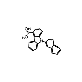 OB(O)c1cccc2c1c1ccccc1n2-c1ccc2ccccc2c1